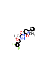 C[C@H](NC(=O)Cc1cc(F)cc(F)c1)C(=O)N[C@@H]1CCC[C@@H](c2ccccc2)N(C)C1=O